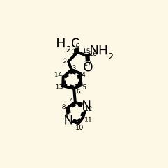 C=C(Cc1ccc(-c2cnccn2)cc1)C(N)=O